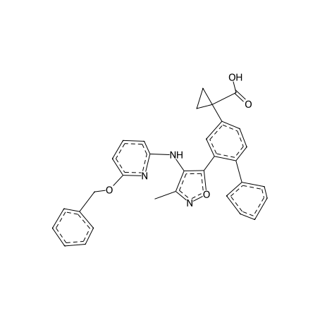 Cc1noc(-c2cc(C3(C(=O)O)CC3)ccc2-c2ccccc2)c1Nc1cccc(OCc2ccccc2)n1